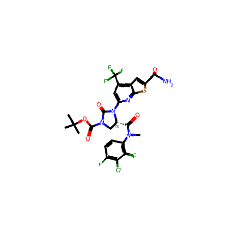 CN(C(=O)[C@@H]1CN(C(=O)OC(C)(C)C)C(=O)N1c1cc(C(F)(F)F)c2cc(C(N)=O)sc2n1)c1ccc(F)c(Cl)c1F